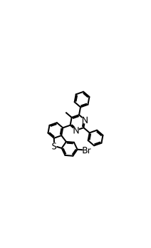 Cc1c(-c2ccccc2)nc(-c2ccccc2)nc1-c1cccc2sc3ccc(Br)cc3c12